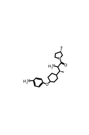 C[C@@H](C1CCC(Oc2ccc(N)cc2)CC1)C(N)C(=O)N1CC[C@H](F)C1